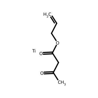 C=CCOC(=O)CC(C)=O.[Ti]